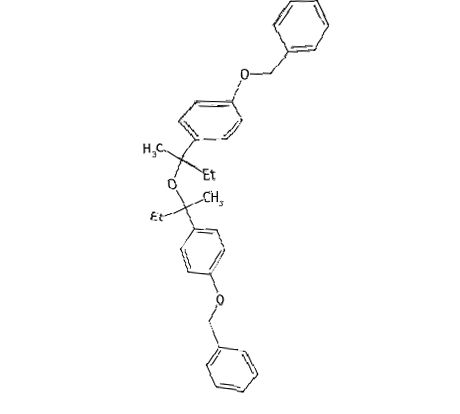 CCC(C)(OC(C)(CC)c1ccc(OCc2ccccc2)cc1)c1ccc(OCc2ccccc2)cc1